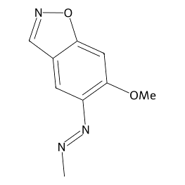 C/N=N/c1cc2cnoc2cc1OC